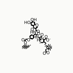 O=C([O-])COc1ccc(C(NC(=O)c2coc3cc(O)c(O)cc3c2=O)C(=O)N[C@@H]2C(=O)N3C(C(=O)[O-])=C(CSc4nnnn4CC(=O)[O-])CS[C@@H]23)cc1.[Na+].[Na+].[Na+]